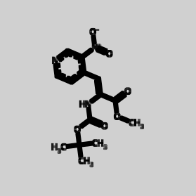 COC(=O)C(=Cc1ccncc1[N+](=O)[O-])NC(=O)OC(C)(C)C